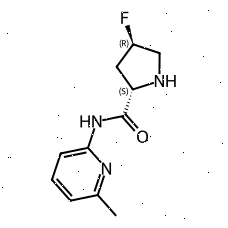 Cc1cccc(NC(=O)[C@@H]2C[C@@H](F)CN2)n1